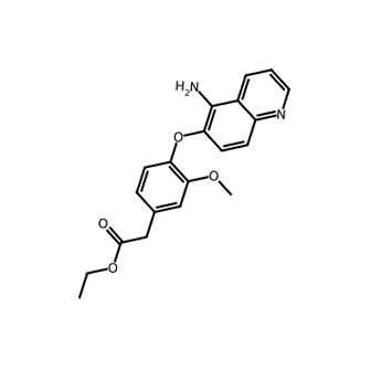 CCOC(=O)Cc1ccc(Oc2ccc3ncccc3c2N)c(OC)c1